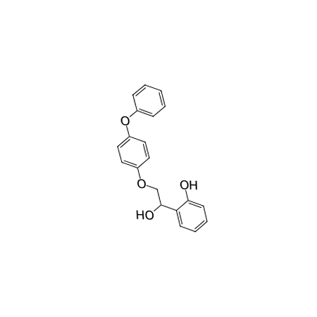 Oc1ccccc1C(O)COc1ccc(Oc2ccccc2)cc1